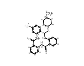 O=C(Nc1cccc(C(F)(F)F)c1)c1ccccc1NC(=O)c1ccccc1OCCN1CCN(C(=O)O)CC1